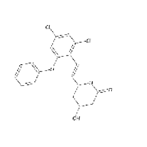 O=C1CC(O)CC(/C=C/c2c(Cl)cc(Cl)cc2Oc2ccccc2)O1